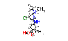 CCN(c1cc(Cl)cc(Nc2ccc(C(=O)O)c(C)c2)n1)C1CCC1